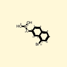 OB(O)Oc1ccc2cccc(Br)c2c1